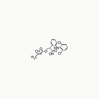 CC(C)=CC(=O)OCC(C(=O)O)c1ccccc1Nc1c(Cl)cccc1Cl